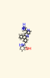 OC[C@H]1CCCCC1NCc1ccc(-c2nc3ccnc(-c4cn[nH]c4)c3cc2-c2ccccc2)cc1